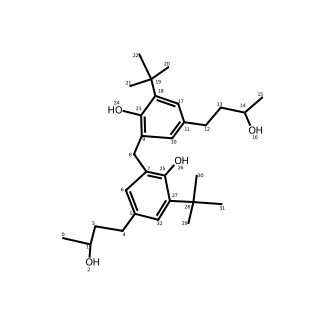 CC(O)CCc1cc(Cc2cc(CCC(C)O)cc(C(C)(C)C)c2O)c(O)c(C(C)(C)C)c1